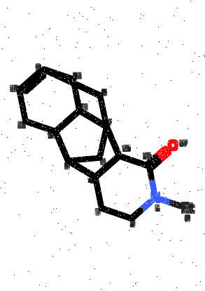 CCN1CCC2C3CC4(CC5=CCC3C4C5)C2C1=O